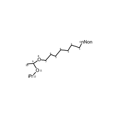 CCCCCCCCCCCCCCCCOC(C)OC(C)C